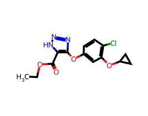 CCOC(=O)c1[nH]nnc1Oc1ccc(Cl)c(OC2CC2)c1